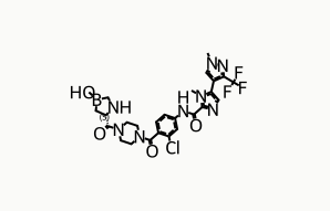 Cn1cc(-c2cnc(C(=O)Nc3ccc(C(=O)N4CCN(C(=O)[C@@H]5CB(O)CN5)CC4)c(Cl)c3)n2C)c(C(F)(F)F)n1